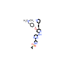 CN(C)C[C@H]1CC[C@H](COc2cc(Nc3ccnc(-c4cnn(S(=O)(=O)C5CC5)c4)n3)ncc2C#Cc2cccnc2)CC1